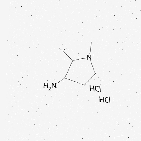 CC1C(N)CCN1C.Cl.Cl